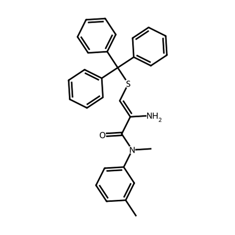 Cc1cccc(N(C)C(=O)C(N)=CSC(c2ccccc2)(c2ccccc2)c2ccccc2)c1